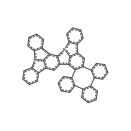 c1ccc2c(c1)-c1ccccc1-c1cc3c4ccccc4n4c3c(c1-c1ccccc1-2)c1cc2c3ccccc3n3c5ccccc5c(c23)c14